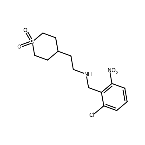 O=[N+]([O-])c1cccc(Cl)c1CNCCC1CCS(=O)(=O)CC1